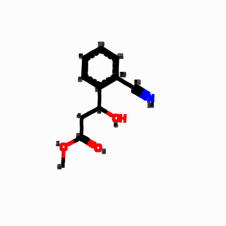 COC(=O)CC(O)c1ccccc1C#N